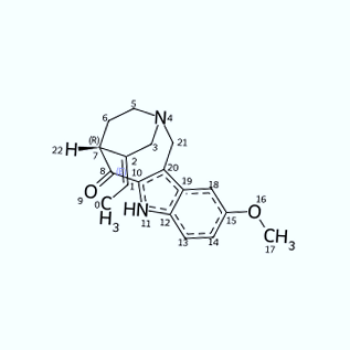 C/C=C1/CN2CC[C@H]1C(=O)c1[nH]c3ccc(OC)cc3c1C2